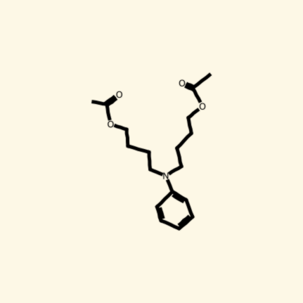 CC(=O)OCCCCN(CCCCOC(C)=O)c1ccccc1